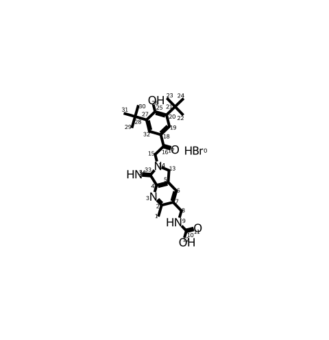 Br.Cc1nc2c(cc1CNC(=O)O)CN(CC(=O)c1cc(C(C)(C)C)c(O)c(C(C)(C)C)c1)C2=N